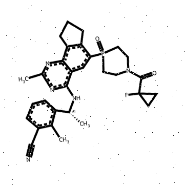 Cc1nc(N[C@H](C)c2cccc(C#N)c2C)c2cc(P3(=O)CCN(C(=O)C4(F)CC4)CC3)c3c(c2n1)CCC3